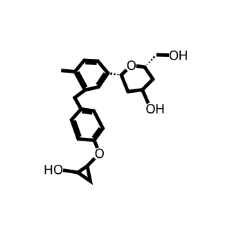 Cc1ccc([C@H]2CC(O)C[C@@H](CO)O2)cc1Cc1ccc(OC2CC2O)cc1